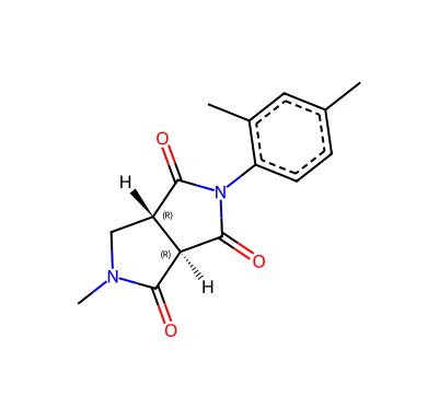 Cc1ccc(N2C(=O)[C@H]3C(=O)N(C)C[C@@H]3C2=O)c(C)c1